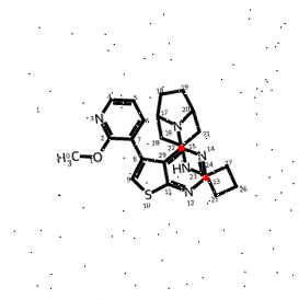 COc1ncccc1-c1csc2ncnc(N3C4CCC3CC(NC3CCC3)C4)c12